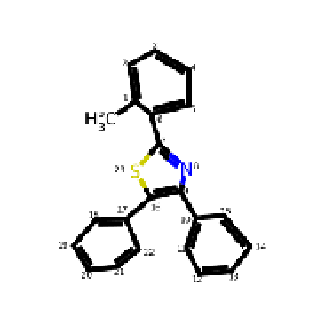 Cc1ccccc1-c1nc(-c2ccccc2)c(-c2ccccc2)s1